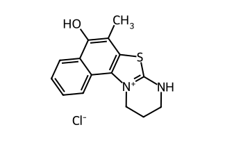 Cc1c(O)c2ccccc2c2c1sc1[n+]2CCCN1.[Cl-]